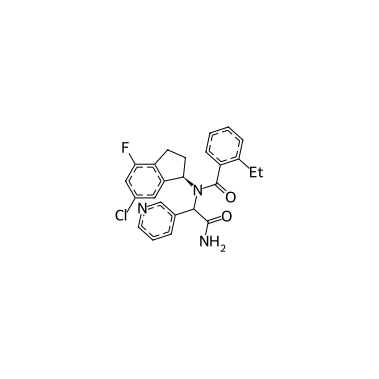 CCc1ccccc1C(=O)N(C(C(N)=O)c1cccnc1)[C@@H]1CCc2c(F)cc(Cl)cc21